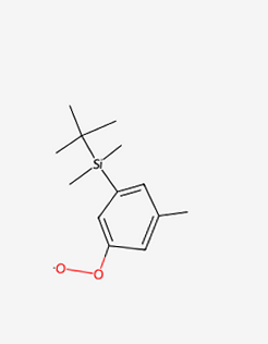 Cc1cc(O[O])cc([Si](C)(C)C(C)(C)C)c1